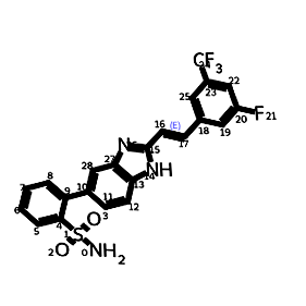 NS(=O)(=O)c1ccccc1-c1ccc2[nH]c(/C=C/c3cc(F)cc(C(F)(F)F)c3)nc2c1